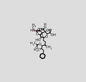 C=C(CCC12OC(C(=O)O)C(O)(C(=O)O)C(C(=O)O)(O1)C(OC(=O)NC)C2O)C(OC(C)=O)C(C)Cc1ccccc1